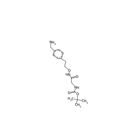 CC(C)(C)OC(=O)NCC(=O)NOCCc1ccc(CN)cc1